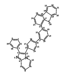 c1ccc(-c2nc3ccccn3c2-c2ccc(-c3cccc(-c4cccc5c4sc4ccccc45)c3)cc2)cc1